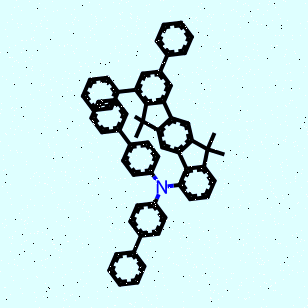 CC1(C)c2cc3c(cc2-c2c(N(c4ccc(-c5ccccc5)cc4)c4ccc(-c5ccccc5)cc4)cccc21)C(C)(C)c1c(-c2ccccc2)cc(-c2ccccc2)cc1-3